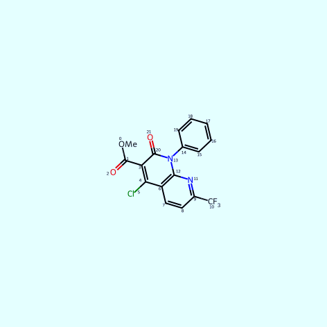 COC(=O)c1c(Cl)c2ccc(C(F)(F)F)nc2n(-c2ccccc2)c1=O